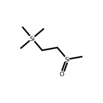 C[Si](=O)CC[Si](C)(C)C